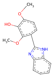 COc1ccc(-c2nc3ccccc3[nH]2)c(OC)c1O